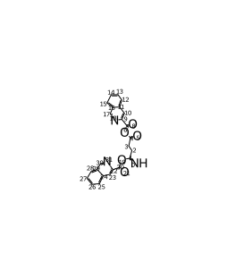 N=C(CCC(=O)OC(=O)c1cc2ccccc2cn1)OC(=O)c1cc2ccccc2cn1